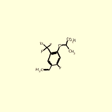 C=Cc1cc(C(F)(F)CC)c(OC(C)C(=O)O)cc1F